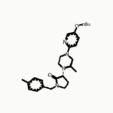 CCCCOc1ccc(N2CCN([C@@H]3CCN(Cc4ccc(C)cc4)C3=O)C(C)C2)nc1